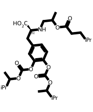 CC(C)CCC(=O)OC(C)CN[C@@H](Cc1ccc(OC(=O)OC(C)C(C)C)c(OC(=O)OC(C)C(C)C)c1)C(=O)O